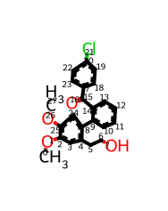 COc1cc(CCO)c(-c2ccccc2C(=O)c2ccc(Cl)cc2)cc1OC